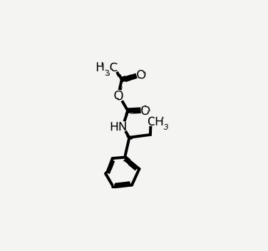 CCC(NC(=O)OC(C)=O)c1ccccc1